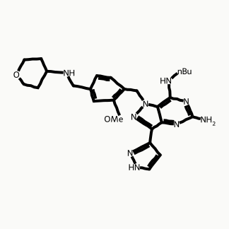 CCCCNc1nc(N)nc2c(-c3cc[nH]n3)nn(Cc3ccc(CNC4CCOCC4)cc3OC)c12